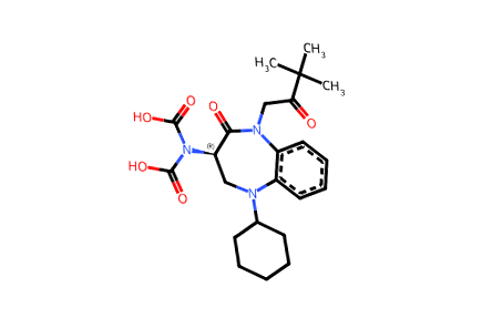 CC(C)(C)C(=O)CN1C(=O)[C@H](N(C(=O)O)C(=O)O)CN(C2CCCCC2)c2ccccc21